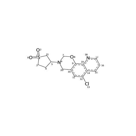 O=S1(=O)CCC(N2COc3c(cc(Cl)c4cccnc34)C2)C1